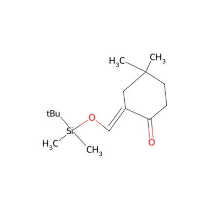 CC1(C)CCC(=O)/C(=C/O[Si](C)(C)C(C)(C)C)C1